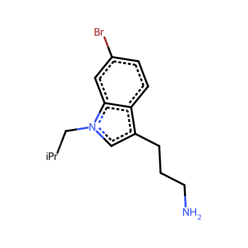 CC(C)Cn1cc(CCCN)c2ccc(Br)cc21